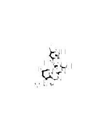 COC[C@H](Nc1nc(Cl)nc(Nc2cc(C)[nH]n2)n1)c1ncc(F)cc1F